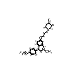 CN1Cc2cc(OCCCN3CCC(F)CC3)ccc2C(c2ccc(SC(F)(F)F)cc2)C1